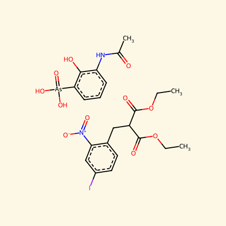 CC(=O)Nc1cccc([As](=O)(O)O)c1O.CCOC(=O)C(Cc1ccc(I)cc1[N+](=O)[O-])C(=O)OCC